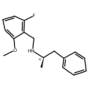 COc1cccc(F)c1CN[C@H](C)Cc1ccccc1